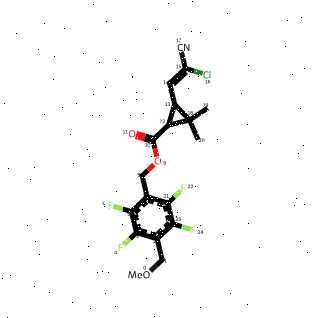 COCc1c(F)c(F)c(COC(=O)C2C(C=C(Cl)C#N)C2(C)C)c(F)c1F